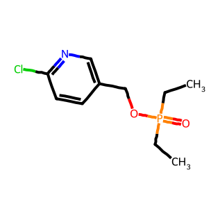 CCP(=O)(CC)OCc1ccc(Cl)nc1